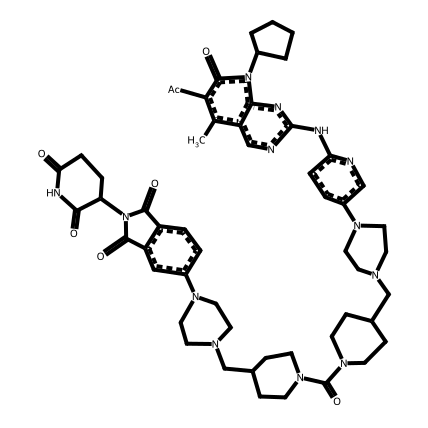 CC(=O)c1c(C)c2cnc(Nc3ccc(N4CCN(CC5CCN(C(=O)N6CCC(CN7CCN(c8ccc9c(c8)C(=O)N(C8CCC(=O)NC8=O)C9=O)CC7)CC6)CC5)CC4)cn3)nc2n(C2CCCC2)c1=O